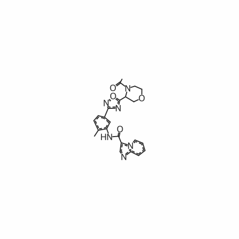 CC(=O)N1CCOCC1c1nc(-c2ccc(C)c(NC(=O)c3cnc4ccccn34)c2)no1